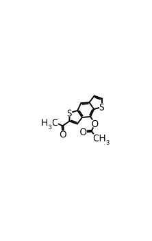 CC(=O)Oc1c2cc(C(C)=O)sc2cc2ccsc12